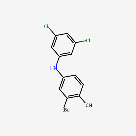 CC(C)(C)c1cc(Nc2cc(Cl)cc(Cl)c2)ccc1C#N